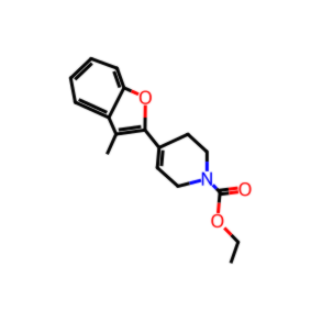 CCOC(=O)N1CC=C(c2oc3ccccc3c2C)CC1